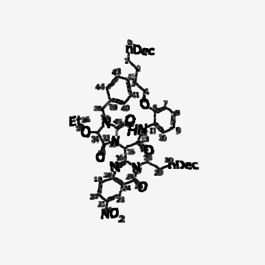 CCCCCCCCCCCCCCOc1ccccc1NC(=O)C(c1nc2ccc([N+](=O)[O-])cc2c(=O)n1CCCCCCCCCCCC)N1C(=O)C(OCC)N(Cc2ccccc2)C1=O